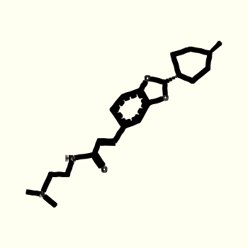 CN(C)CCNC(=O)C=Cc1ccc2c(c1)OC([C@H]1CC[C@H](C)CC1)O2